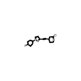 Fc1ccc(-n2ccc(C#Cc3ccnc(Cl)c3)n2)cc1